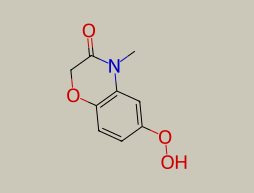 CN1C(=O)COc2ccc(OO)cc21